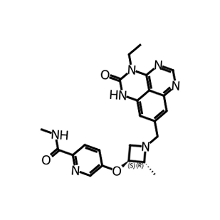 CCN1C(=O)Nc2cc(CN3C[C@H](Oc4ccc(C(=O)NC)nc4)[C@H]3C)cc3ncnc1c23